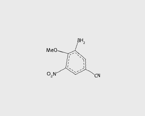 Bc1cc(C#N)cc([N+](=O)[O-])c1OC